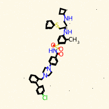 Cc1cc(S(=O)(=O)NC(=O)c2ccc(N3CCN(Cc4ccccc4-c4ccc(Cl)cc4)CC3)cc2)ccc1N[C@H](CCNC1CCC1)CSc1ccccc1